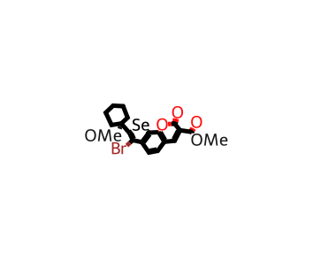 COC(=O)c1cc2ccc3c(Br)c(C4(OC)CCCCC4)[se]c3c2oc1=O